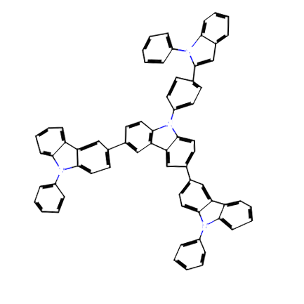 c1ccc(-n2c(-c3ccc(-n4c5ccc(-c6ccc7c(c6)c6ccccc6n7-c6ccccc6)cc5c5cc(-c6ccc7c(c6)c6ccccc6n7-c6ccccc6)ccc54)cc3)cc3ccccc32)cc1